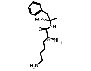 CSC(C)(Cc1ccccc1)NC(=O)[C@@H](N)CCCCN